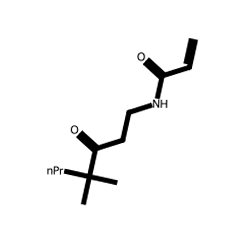 C=CC(=O)NCCC(=O)C(C)(C)CCC